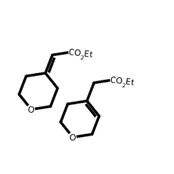 CCOC(=O)C=C1CCOCC1.CCOC(=O)CC1=CCOCC1